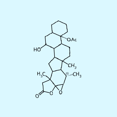 CC(=O)OC12CCCCC1CC(O)C1C3CC4C([C@H](C)C5OC56OC(=O)CC46C)C3(C)CCC12